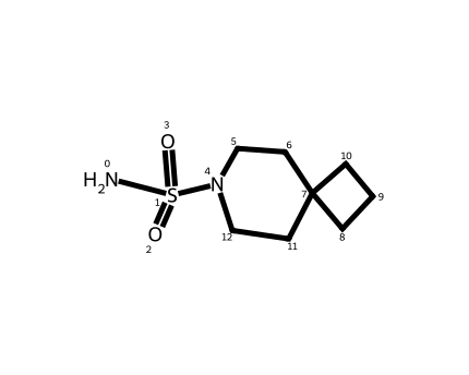 NS(=O)(=O)N1CCC2(CCC2)CC1